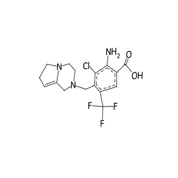 Nc1c(C(=O)O)cc(C(F)(F)F)c(CN2CCN3CCC=C3C2)c1Cl